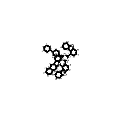 c1ccc(-c2ccc(-c3nc(-c4ccc5oc6ccccc6c5c4-n4c5ccccc5c5cc6ccccc6cc54)nc(-c4cccc5oc6ccccc6c45)n3)cc2)cc1